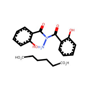 NN(C(=O)c1ccccc1O)C(=O)c1ccccc1O.O=C(O)CCCCC(=O)O